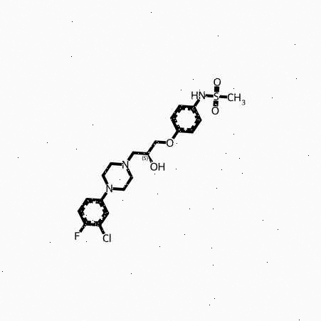 CS(=O)(=O)Nc1ccc(OC[C@@H](O)CN2CCN(c3ccc(F)c(Cl)c3)CC2)cc1